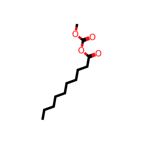 CCCCCCCCCC(=O)OC(=O)OC